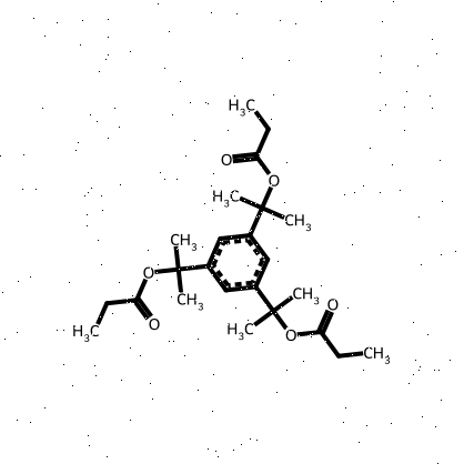 CCC(=O)OC(C)(C)c1cc(C(C)(C)OC(=O)CC)cc(C(C)(C)OC(=O)CC)c1